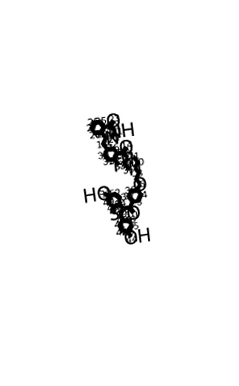 O=C(c1ccc(OCCN2CCN(C(=O)c3cc(Cc4n[nH]c(=O)c5ccccc45)ccc3F)CC2)cc1)c1c(-c2ccc(O)cc2)sc2cc(O)ccc12